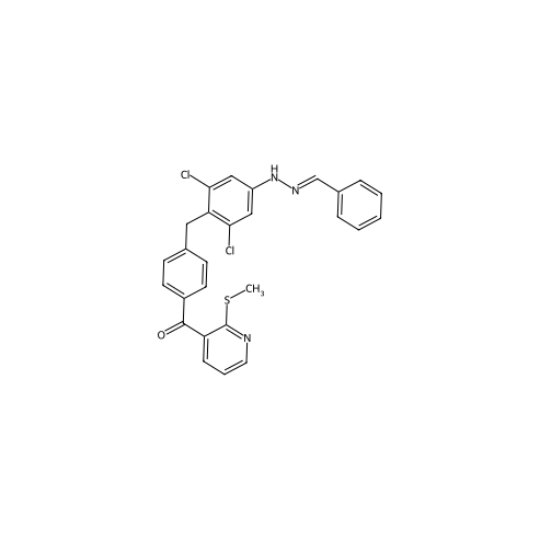 CSc1ncccc1C(=O)c1ccc(Cc2c(Cl)cc(NN=Cc3ccccc3)cc2Cl)cc1